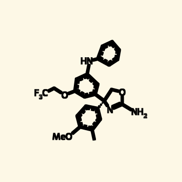 COc1ccc([C@]2(c3cc(Nc4ccccc4)cc(OCC(F)(F)F)c3)COC(N)=N2)cc1C